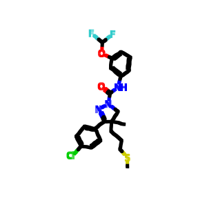 CSCCCC1(C)CN(C(=O)Nc2cccc(OC(F)F)c2)N=C1c1ccc(Cl)cc1